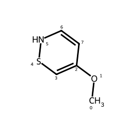 COC1=CSNC=C1